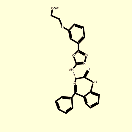 COCCOc1cccc(-c2nnc(N[C@H]3N=C(c4ccccc4)c4ccccc4NC3=O)o2)c1